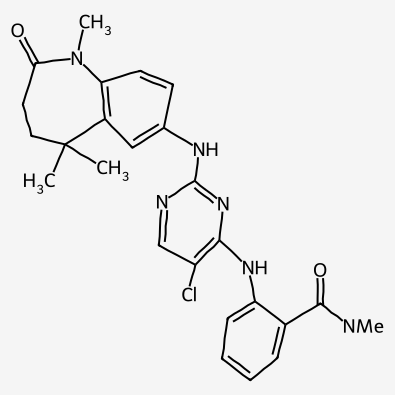 CNC(=O)c1ccccc1Nc1nc(Nc2ccc3c(c2)C(C)(C)CCC(=O)N3C)ncc1Cl